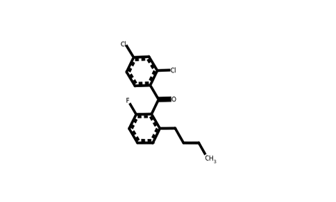 CCCCc1[c]ccc(F)c1C(=O)c1ccc(Cl)cc1Cl